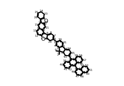 CC1(C)c2cc(C3=CC=C4c5c(ccc6cc7c8c(oc7cc56)CCC=C8)OC4C3)ccc2C2=CC=C(c3c4ccccc4c(-c4cccc5ccccc45)c4ccccc34)CC21